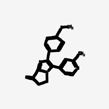 CSc1ccc(-c2nc3n(c2-c2ccnc(C)c2)CCC3=O)cc1